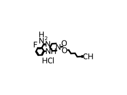 C#CCCCCOC(=O)N1CCC2(CC1)N=C(N)c1c(F)cccc1N2.Cl